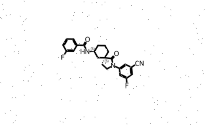 N#Cc1cc(F)cc(N2CC[C@]3(CCC[C@H](NC(=O)c4cccc(F)c4)C3)C2=O)c1